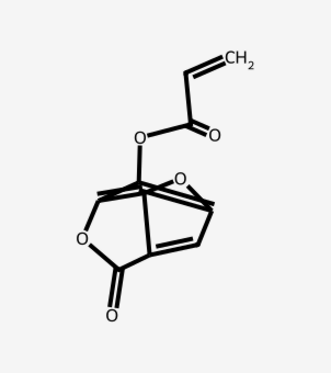 C=CC(=O)Oc1c2c3oc1cc3C(=O)O2